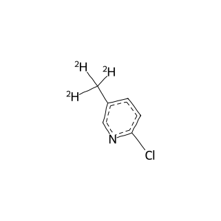 [2H]C([2H])([2H])c1ccc(Cl)nc1